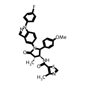 COc1ccc(C2[C@@H](NC(=O)c3scnc3C)[C@H](C)C(=O)N2c2ccc3c(cnn3-c3ccc(F)cc3)c2)cc1